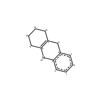 c1ccc2c(c1)CC1=C(CCCC1)[N]2